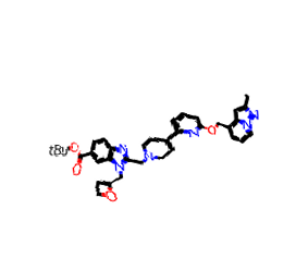 Cc1cc2c(COc3cccc(C4CCN(Cc5nc6ccc(C(=O)OC(C)(C)C)cc6n5C[C@@H]5CCO5)CC4)n3)cccn2n1